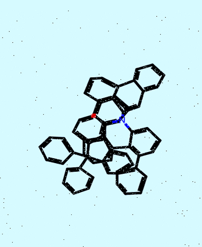 c1ccc(-c2ccccc2-c2c(-c3ccccc3)cccc2N(c2cccc3c2-c2ccccc2C3(c2ccccc2)c2ccccc2)c2cc3ccccc3c3ccccc23)cc1